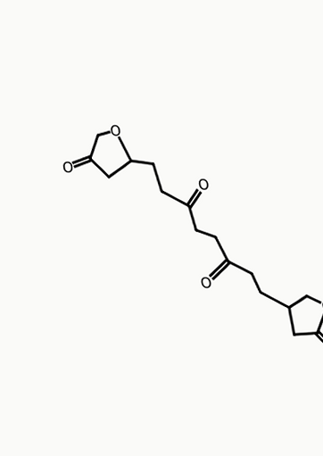 O=C(CCC(=O)CCC1CC(=O)CO1)CCC1COC(=O)C1